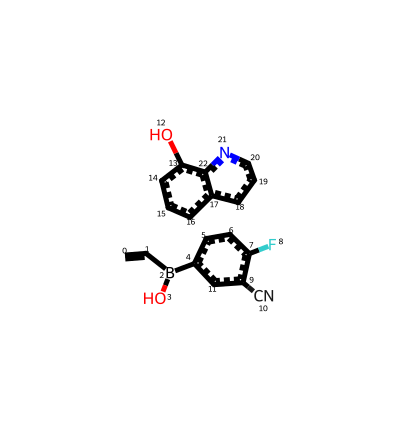 C=CB(O)c1ccc(F)c(C#N)c1.Oc1cccc2cccnc12